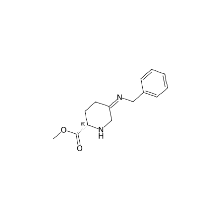 COC(=O)[C@@H]1CCC(=NCc2ccccc2)CN1